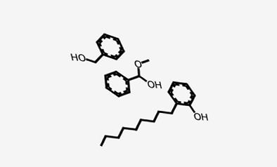 CCCCCCCCCc1ccccc1O.COC(O)c1ccccc1.OCc1ccccc1